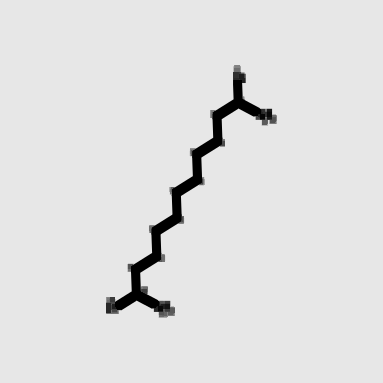 CCC(N)CCCCCCCCCC(N)CC